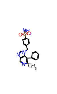 Cc1ncc2ncn(Cc3ccc(S(N)(=O)=O)cc3)c2c1-c1ccccc1